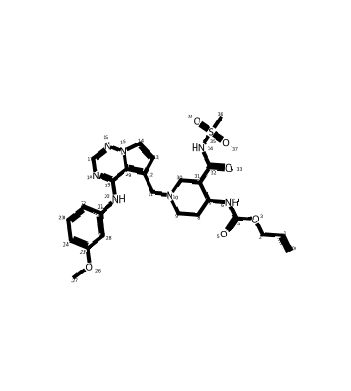 C=CCOC(=O)NC1CCN(Cc2ccn3ncnc(Nc4cccc(OC)c4)c23)CC1C(=O)NS(C)(=O)=O